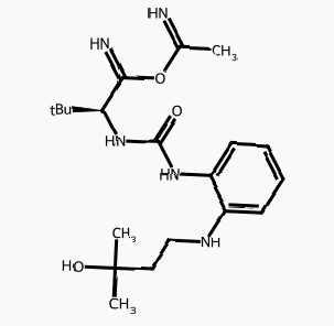 CC(=N)OC(=N)[C@@H](NC(=O)Nc1ccccc1NCCC(C)(C)O)C(C)(C)C